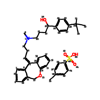 CN(CC/C=C1/c2ccccc2COc2ccccc21)CCCC(O)c1ccc(C(C)(C)C)cc1.Cc1ccc(S(=O)(=O)O)cc1